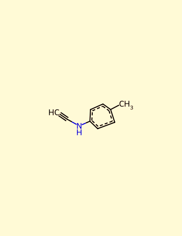 C#CNc1ccc(C)cc1